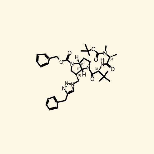 C[C@@H](C(=O)N[C@H](C(=O)N1CC[C@@H]2[C@H]1[C@@H](Cn1cc(Cc3ccccc3)nn1)CN2C(=O)OCc1ccccc1)C(C)(C)C)N(C)C(=O)OC(C)(C)C